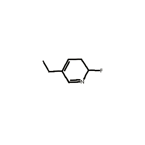 CCC1=CCC(F)N=C1